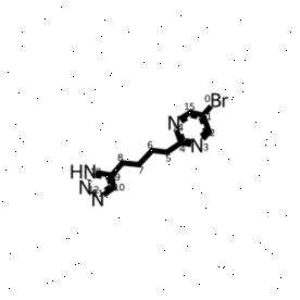 Brc1cnc(CCCCc2cnn[nH]2)nc1